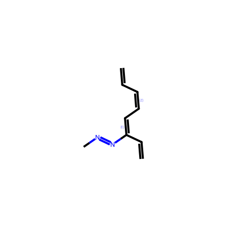 C=C/C=C\C=C(/C=C)N=NC